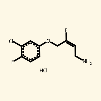 Cl.NC/C=C(/F)COc1ccc(F)c(Cl)c1